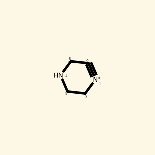 C1#[N+]CCN[CH]1